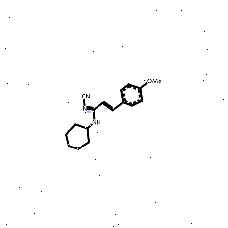 COc1ccc(/C=C/C(=N\C#N)NC2CCCCC2)cc1